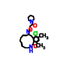 Cc1cc(C)c2c(c1Cl)CC(=N\OCC(=O)N1CCCCC1)/C=C/CC/C=C/CCNC2=O